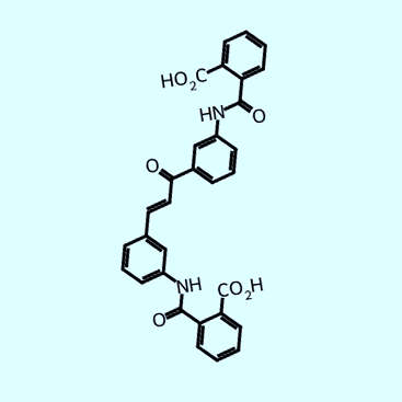 O=C(/C=C/c1cccc(NC(=O)c2ccccc2C(=O)O)c1)c1cccc(NC(=O)c2ccccc2C(=O)O)c1